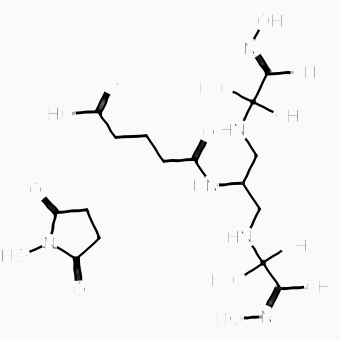 CC(=NO)C(C)(C)NCC(CNC(C)(C)C(C)=NO)NC(=O)CCCC(=O)O.O=C1CCC(=O)N1O